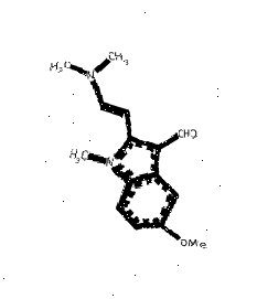 COc1ccc2c(c1)c(C=O)c(/C=C/N(C)C)n2C